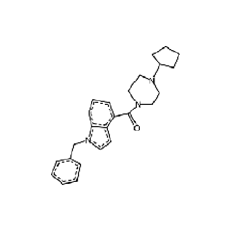 O=C(c1cccc2c1ccn2Cc1ccccc1)N1CCN(C2CCCC2)CC1